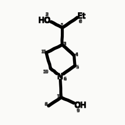 CCC(O)C1CCN(C(C)O)CC1